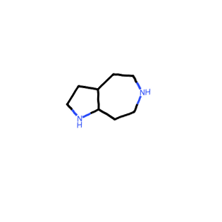 C1CC2CCNC2CCN1